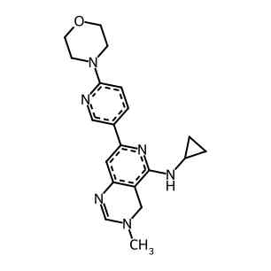 CN1C=Nc2cc(-c3ccc(N4CCOCC4)nc3)nc(NC3CC3)c2C1